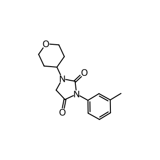 Cc1cccc(N2C(=O)CN(C3CCOCC3)C2=O)c1